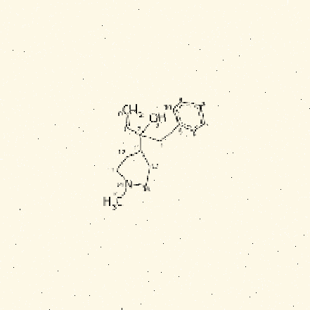 C=CC(O)(Cc1ccccc1)C1CCN(C)CC1